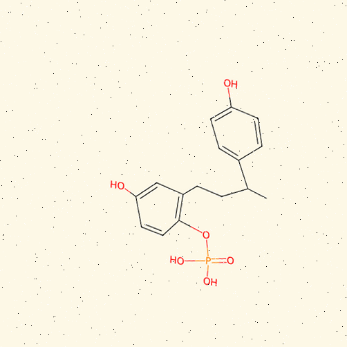 CC(CCc1cc(O)ccc1OP(=O)(O)O)c1ccc(O)cc1